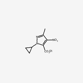 CCOC(=O)c1c([N+](=O)[O-])c(C)nn1C1CC1